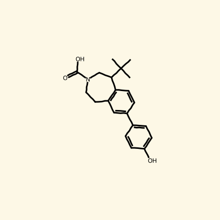 CC(C)(C)C1CN(C(=O)O)CCc2cc(-c3ccc(O)cc3)ccc21